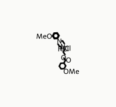 COc1cccc(N2CCN(CCCOC(=O)C3CCCC(OC)C3)CC2)c1.Cl.Cl